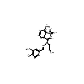 COc1cc(C=NN(CCO)C2=NS(=O)(=O)c3c(OC)cccc32)ccc1O